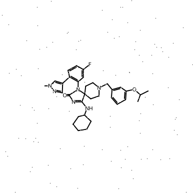 CC(C)Oc1cccc(CN2CCC3(CC2)C(NC2CCCCC2)=NC(=O)N3c2cc(F)ccc2-c2cnn(C)c2)c1